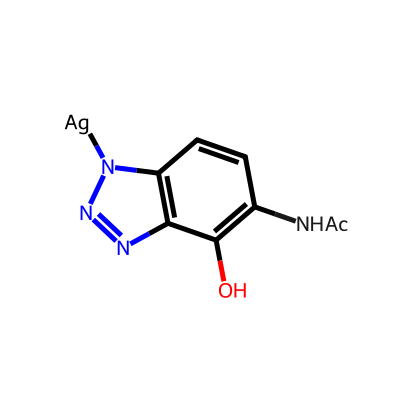 CC(=O)Nc1ccc2c(nn[n]2[Ag])c1O